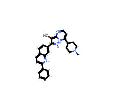 CN1CCC(c2ccnc3c(C#N)c(-c4ccc5ccc(-c6ccccc6)nc5c4)nn23)CC1